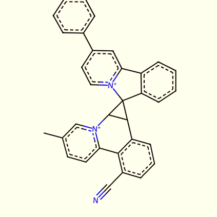 Cc1ccc2[n+](c1)C1C(c3cccc(C#N)c3-2)C12c1ccccc1-c1cc(-c3ccccc3)cc[n+]12